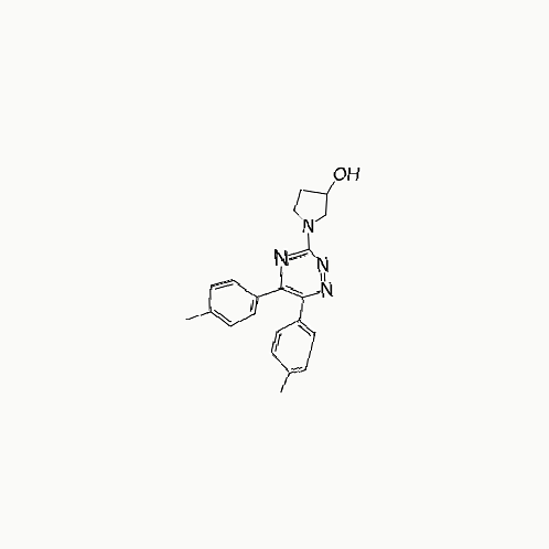 Cc1ccc(-c2nnc(N3CCC(O)C3)nc2-c2ccc(C)cc2)cc1